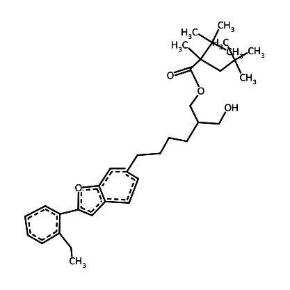 CCc1ccccc1-c1cc2ccc(CCCCC(CO)COC(=O)C(C)(CC(C)(C)C)C(C)(C)C)cc2o1